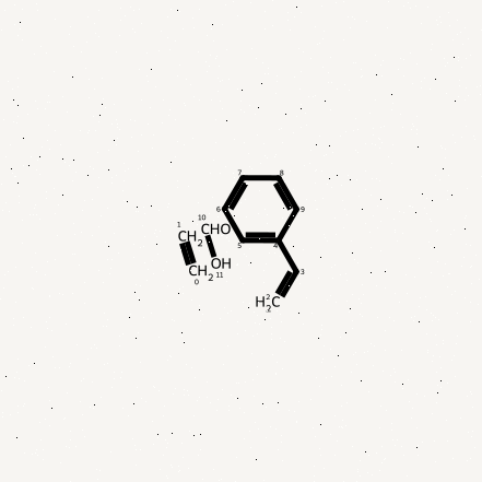 C=C.C=Cc1ccccc1.O=CO